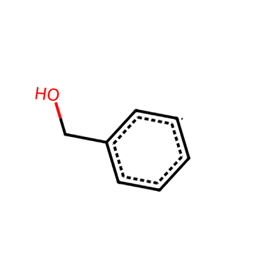 OCc1c[c]ccc1